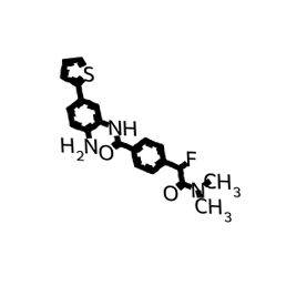 CN(C)C(=O)C(F)c1ccc(C(=O)Nc2cc(-c3cccs3)ccc2N)cc1